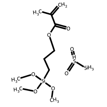 C=C(C)C(=O)OCCC[Si](OC)(OC)OC.O=[SH](=O)[SiH3]